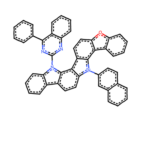 c1ccc(-c2nc(-n3c4ccccc4c4ccc5c(c6ccc7oc8ccccc8c7c6n5-c5ccc6ccccc6c5)c43)nc3ccccc23)cc1